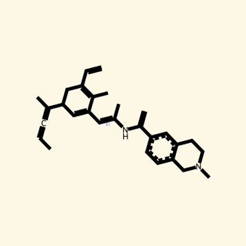 C=CC1=C(C)C(/C=C(\C)NC(=C)c2ccc3c(c2)CCN(C)C3)=CC(C(C)=C=CC)C1